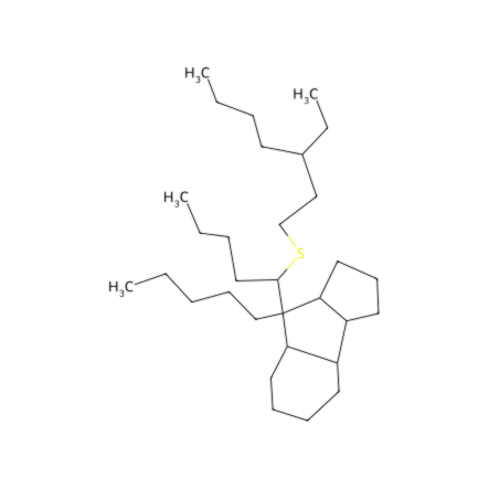 CCCCCC1(C(CCCC)SCCC(CC)CCCC)C2CCCCC2C2CCCC21